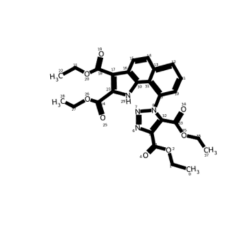 CCOC(=O)c1nnn(-c2cccc3ccc4c(C(=O)OCC)c(C(=O)OCC)[nH]c4c23)c1C(=O)OCC